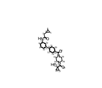 O=C(CC1CC1)Nc1cccc(-c2ccc(C(=O)N3CCN(C(=O)C4(O)CC4)CC3)cc2)c1